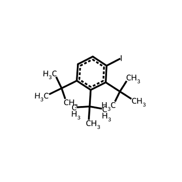 CC(C)(C)c1ccc(I)c(C(C)(C)C)c1C(C)(C)C